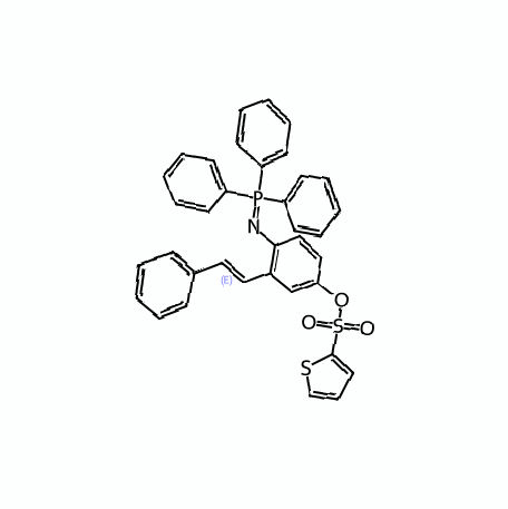 O=S(=O)(Oc1ccc(N=P(c2ccccc2)(c2ccccc2)c2ccccc2)c(/C=C/c2ccccc2)c1)c1cccs1